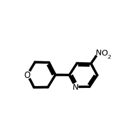 O=[N+]([O-])c1ccnc(C2=CCOCC2)c1